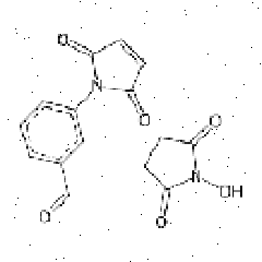 O=C1CCC(=O)N1O.O=Cc1cccc(N2C(=O)C=CC2=O)c1